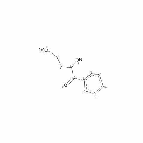 CCOC(=O)CCC(O)C(=O)c1ccccc1